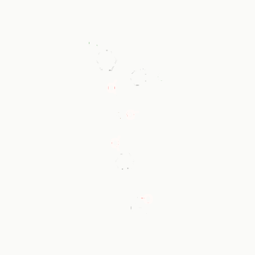 O=C(CCc1ccc(OCC[S+]([O-])CCOC(c2ccc(Cl)cc2)c2ccc(Cl)cc2)cc1)C(F)(F)F